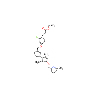 CCOC(=O)CCc1ccc(OCc2cccc(-c3c(C)cc(OCc4cccc(C)n4)cc3C)c2)cc1F